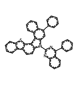 c1ccc(-c2nc(-n3c4cc(-c5ccccc5)c5ccccc5c4c4c5sc6ccccc6c5ccc43)nc3ccccc23)cc1